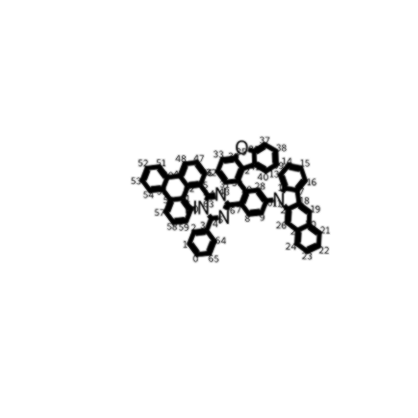 c1ccc(C2N=C(c3ccc(-n4c5ccccc5c5cc6ccccc6cc54)cc3-c3cccc4oc5ccccc5c34)N=C(c3cccc4c5ccccc5c5ccccc5c34)N2)cc1